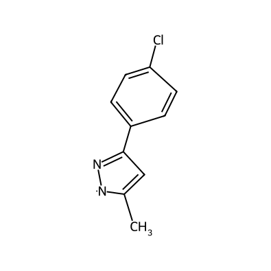 CC1=CC(c2ccc(Cl)cc2)=N[N]1